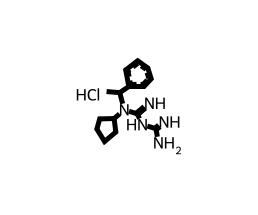 CC(c1ccccc1)N(C(=N)NC(=N)N)C1CCCC1.Cl